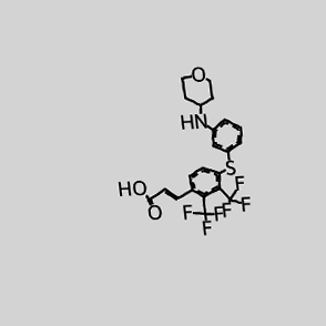 O=C(O)C=Cc1ccc(Sc2cccc(NC3CCOCC3)c2)c(C(F)(F)F)c1C(F)(F)F